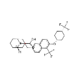 O=C(O)C1CC2CCC[C@@H](C1)N2CCc1ccc2c(C(F)(F)F)c(O[C@H]3CC[C@@H](C(F)(F)F)CC3)ccc2c1